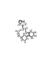 C(=C1CC1)c1ccccc1.C=CC=CC=Cc1ccccc1